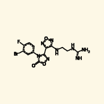 N=C(N)NCCNc1nonc1-c1noc(=O)n1-c1ccc(F)c(Br)c1